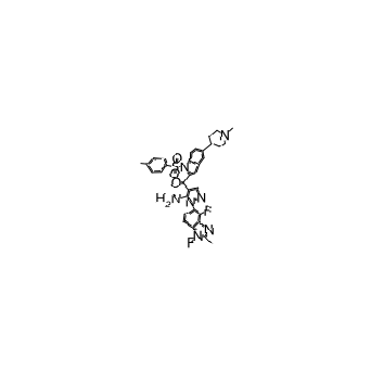 Cc1ccc(S(=O)(=O)n2c(C(=O)c3cnn(-c4ccc5c(nc(C)n5F)c4F)c3N)cc3cc(C4CCN(C)CC4)ccc32)cc1